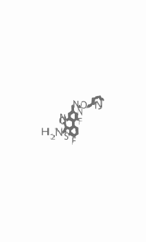 CN1CCCC1COc1ncc2cc(Cl)c(-c3ccc(F)c4sc(N)c(C#N)c34)c(F)c2n1